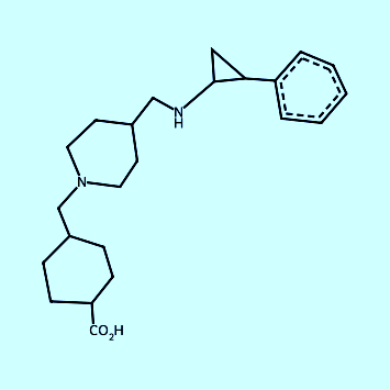 O=C(O)C1CCC(CN2CCC(CNC3CC3c3ccccc3)CC2)CC1